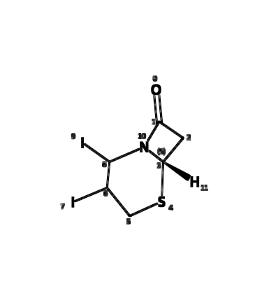 O=C1C[C@@H]2SCC(I)C(I)N12